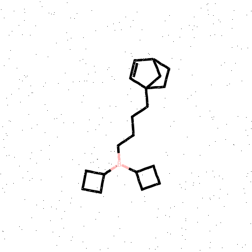 C1=CC2(CCCCB(C3CCC3)C3CCC3)CCC1C2